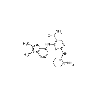 Cc1cc2c(Nc3nc(N[C@@H]4CCCC[C@@H]4N)ncc3C(N)=O)cccc2n1C